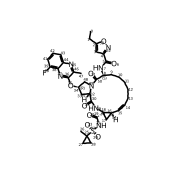 CCc1cc(C(=O)N[C@H]2CCCCCC=C[C@@H]3C[C@@]3(C(=O)NS(=O)(=O)C3(C)CC3)NC(=O)[C@@H]3C[C@@H](Oc4nc5c(F)cccc5nc4C)CN3C2=O)no1